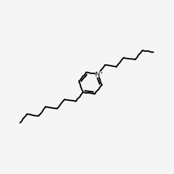 CCCCCCCc1cc[n+](CCCCCC)cc1